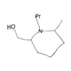 CC(C)N1C(C)CCCC1CO